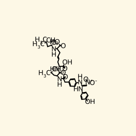 CC(C)CC(NC(=O)Cc1ccc(NC(=C[N+](=O)[O-])Nc2ccc(O)cc2)cc1)C(=O)NC(CC=CCC(NC(=O)CC(C)(C)C)C(=O)O)C(=O)O